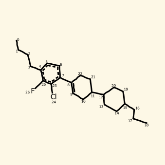 CCCCc1ccc(C2=CCC(C3CCC(CCC)CC3)CC2)c(Cl)c1F